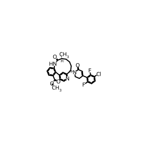 COC(=O)c1cccc2c1-c1ccnc(c1)[C@@H](N1CCC(c3c(F)ccc(Cl)c3F)=CC1=O)CCC[C@@H](C)C(=O)N2